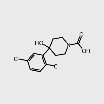 O=C(O)N1CCC(O)(c2cc(Cl)ccc2Cl)CC1